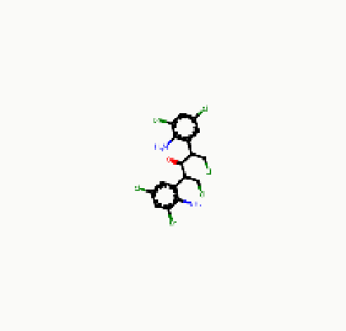 Nc1c(Br)cc(Cl)cc1C(CCl)C(=O)C(CCl)c1cc(Cl)cc(Br)c1N